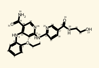 CCOc1ccccc1Nc1cc(Nc2ccc(C(=O)NCCO)cn2)ncc1C(N)=O